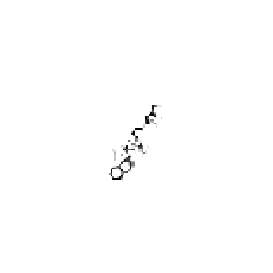 O=C(O)C1(NS(=O)(=O)c2ccc(-c3cc(C(F)(F)F)on3)s2)[C@@H]2c3ccccc3C[C@@H]21